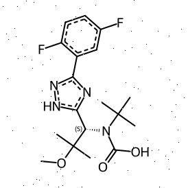 COC(C)(C)[C@H](c1nc(-c2cc(F)ccc2F)n[nH]1)N(C(=O)O)C(C)(C)C